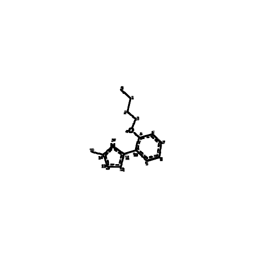 CCCCOc1ccccc1-c1csc(C)n1